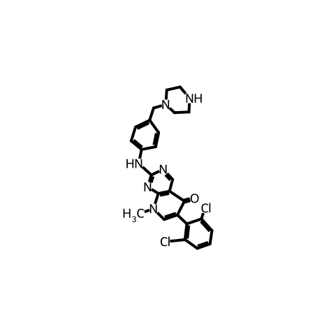 Cn1cc(-c2c(Cl)cccc2Cl)c(=O)c2cnc(Nc3ccc(CN4CCNCC4)cc3)nc21